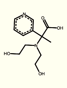 CC(C(=O)O)(c1cccnc1)N(CCO)CCO